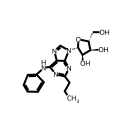 CCCc1nc(Nc2ccccc2)c2ncn([C@@H]3O[C@H](CO)[C@@H](O)[C@H]3O)c2n1